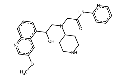 COc1cnc2cccc(C(O)CN(CC(=O)Nc3ccccn3)C3CCNCC3)c2c1